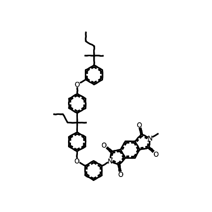 CCCC(C)(C)c1cccc(Oc2ccc(C(C)(CCC)c3ccc(Oc4cccc(-n5c(=O)c6cc7c(=O)n(C)c(=O)c7cc6c5=O)c4)cc3)cc2)c1